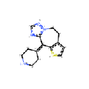 c1nc2n(n1)CCc1ccsc1C2=C1CCNCC1